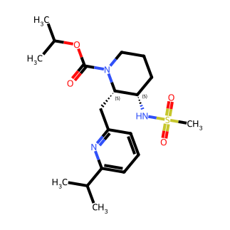 CC(C)OC(=O)N1CCC[C@H](NS(C)(=O)=O)[C@@H]1Cc1cccc(C(C)C)n1